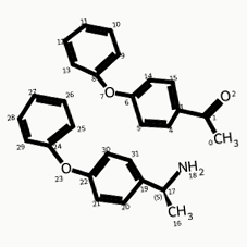 CC(=O)c1ccc(Oc2ccccc2)cc1.C[C@H](N)c1ccc(Oc2ccccc2)cc1